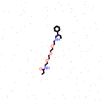 C=C/C(=C\NCCOCCOCCOCCNC(=O)CC)c1ccccc1